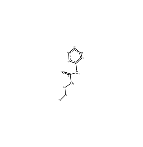 CCCOC(=O)Oc1ccccc1